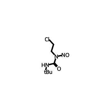 CC(C)(C)NC(=O)N(CCCl)N=O